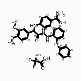 CCOc1cc(C(Nc2ccc(C(=N)N)cc2)C(=O)NNc2ccccc2Oc2ccccc2)ccc1OC(C)C.O=C(O)C(F)(F)F